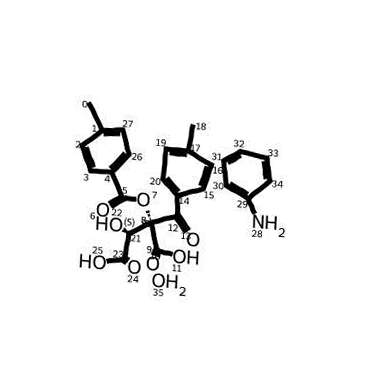 Cc1ccc(C(=O)O[C@@](C(=O)O)(C(=O)c2ccc(C)cc2)[C@H](O)C(=O)O)cc1.Nc1ccccc1.O